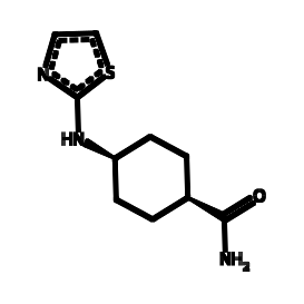 NC(=O)[C@H]1CC[C@@H](Nc2nccs2)CC1